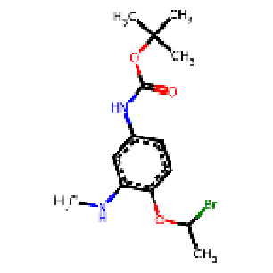 CNc1cc(NC(=O)OC(C)(C)C)ccc1OC(C)Br